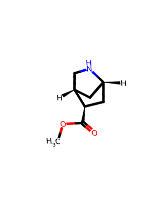 COC(=O)[C@@H]1C[C@@H]2C[C@H]1CN2